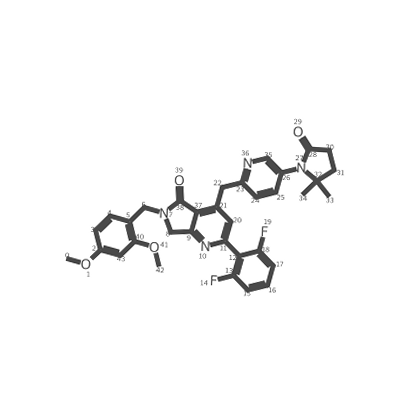 COc1ccc(CN2Cc3nc(-c4c(F)cccc4F)cc(Cc4ccc(N5C(=O)CCC5(C)C)cn4)c3C2=O)c(OC)c1